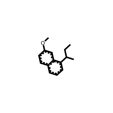 CCC(C)c1cccc2ccc(OC)cc12